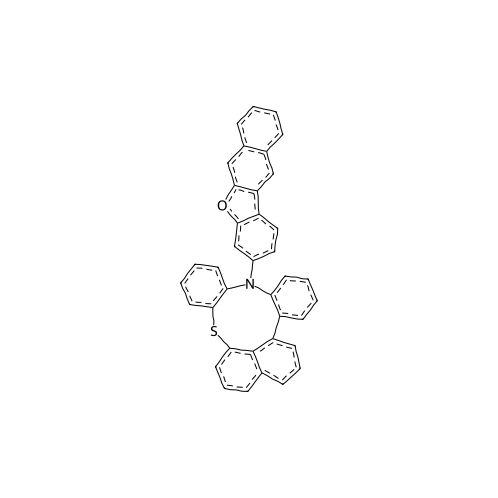 c1ccc2c(c1)Sc1cccc3cccc(c13)-c1ccccc1N2c1ccc2c(c1)oc1cc3ccccc3cc12